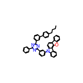 CCCCc1ccc(-c2cccc(-c3nc(-c4ccccc4)nc(-c4cccc(-n5c6ccccc6c6c7oc8ccccc8c7ccc65)c4)n3)c2)cc1